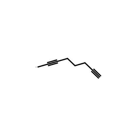 C#CCCCC#C[CH2]